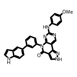 COc1ccc(Nc2ncc3c4n[nH]cc4c(=O)n(-c4cccc(-c5ccc6[nH]ccc6c5)c4)c3n2)cc1